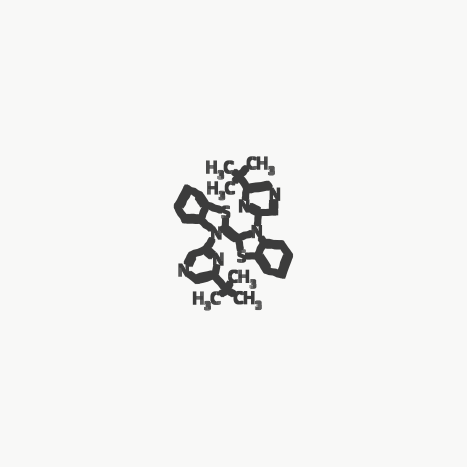 CC(C)(C)c1cncc(N2/C(=C3\Sc4ccccc4N3c3cncc(C(C)(C)C)n3)Sc3ccccc32)n1